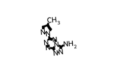 Cc1cnn(-c2nnc3nnc(N)n3n2)c1